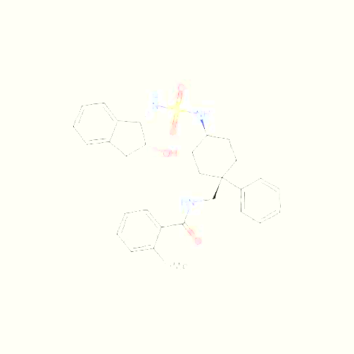 COc1ccccc1C(=O)NC[C@]1(c2ccccc2)CC[C@H](NS(=O)(=O)N[C@H]2c3ccccc3C[C@H]2O)CC1